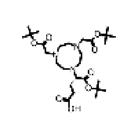 CC(C)(C)OC(=O)CN1CCN(CC(=O)OC(C)(C)C)CCN([C@@H](CCC(=O)O)C(=O)OC(C)(C)C)CC1